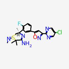 C/N=S1/C[C@@](C)(c2cc(-c3cc(-c4ncc(Cl)cn4)no3)ccc2F)N=C(N)C1(C)C